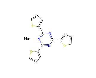 [Na].c1csc(-c2nc(-c3cccs3)nc(-c3cccs3)n2)c1